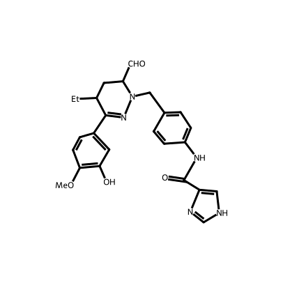 CCC1CC(C=O)N(Cc2ccc(NC(=O)c3c[nH]cn3)cc2)N=C1c1ccc(OC)c(O)c1